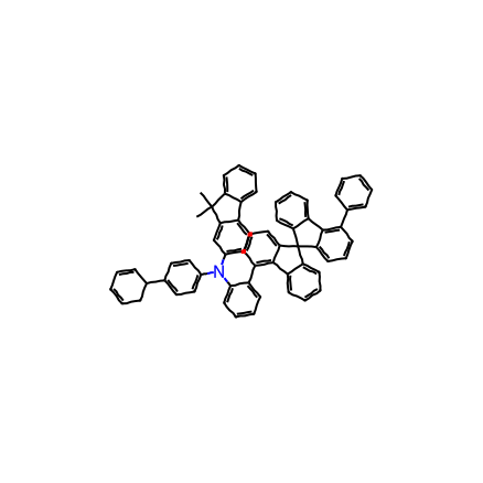 CC1(C)c2ccccc2-c2ccc(N(c3ccc(C4C=CC=CC4)cc3)c3ccccc3-c3cccc4c3-c3ccccc3C43c4ccccc4-c4c(-c5ccccc5)cccc43)cc21